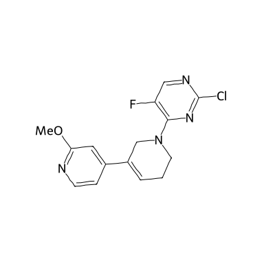 COc1cc(C2=CCCN(c3nc(Cl)ncc3F)C2)ccn1